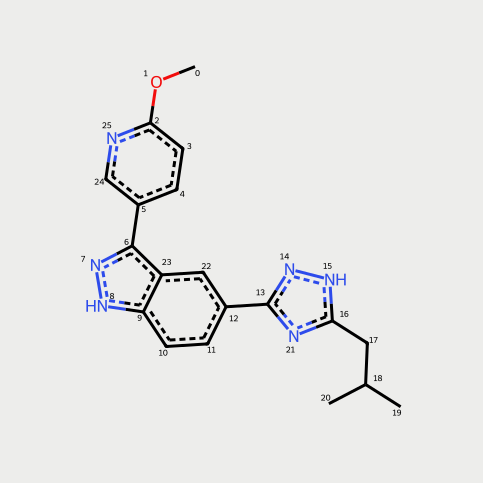 COc1ccc(-c2n[nH]c3ccc(-c4n[nH]c(CC(C)C)n4)cc23)cn1